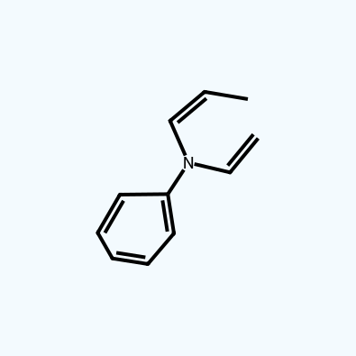 C=CN(/C=C\C)c1ccccc1